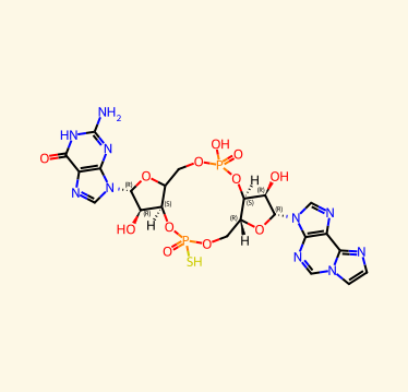 Nc1nc2c(ncn2[C@@H]2OC3COP(=O)(O)O[C@H]4[C@@H](O)[C@H](n5cnc6c5ncn5ccnc65)O[C@@H]4COP(=O)(S)O[C@H]3[C@H]2O)c(=O)[nH]1